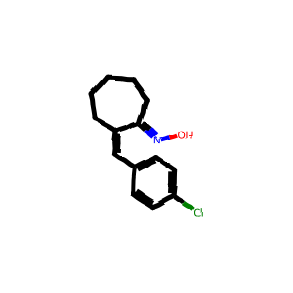 O/N=C1\CCCCC\C1=C\c1ccc(Cl)cc1